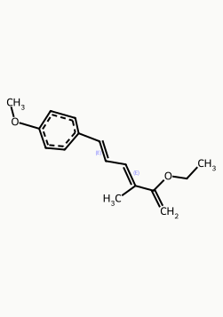 C=C(OCC)/C(C)=C/C=C/c1ccc(OC)cc1